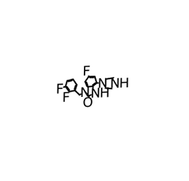 O=c1[nH]c2c(N3CCNCC3)cc(F)cc2n1Cc1cccc(F)c1F